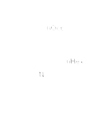 CCCCCCCCCC(CCCCCC)N1CCCC1